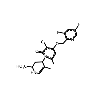 CC1=CNC(C(=O)O)CC1n1c(C)cc(OCc2ncc(F)cc2F)c(Cl)c1=O